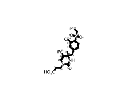 CC(C)CS(=O)(=O)c1ccc(C[C@]2(C)NC(=O)N(CCC(=O)O)C=C2C(C)C)cc1Cl